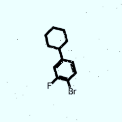 Fc1cc(C2CCCCC2)ccc1Br